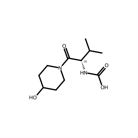 CC(C)[C@H](NC(=O)O)C(=O)N1CCC(O)CC1